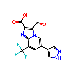 O=Cc1c(C(=O)O)nc2c(C(F)(F)F)cc(-c3cn[nH]c3)cn12